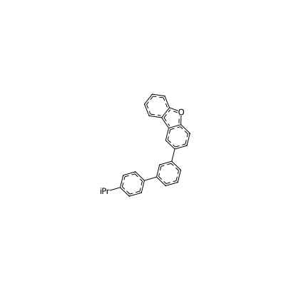 CC(C)c1ccc(-c2cccc(-c3ccc4oc5ccccc5c4c3)c2)cc1